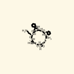 C[C@@H]1NC(=O)[C@H](Cc2ccccc2)NC(=O)[C@@H](N)CSSC[C@@H](C(=O)O)NC(=O)CNC(=O)[C@H]([C@@H](C)O)NC(=O)[C@H](CCCCN)NC(=O)[C@H](Cc2c[nH]c3ccccc23)NC1=O